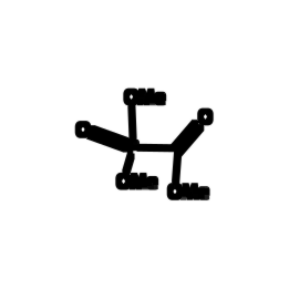 COC(=O)P(=O)(OC)OC